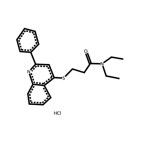 CCN(CC)C(=O)CCSc1cc(-c2ccccc2)nc2ccccc12.Cl